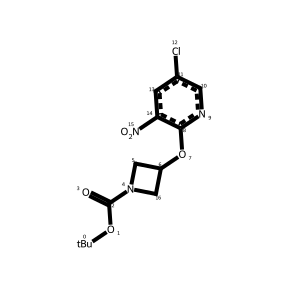 CC(C)(C)OC(=O)N1CC(Oc2ncc(Cl)cc2[N+](=O)[O-])C1